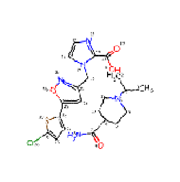 CC(C)N1CCC(C(N)=O)CC1.O=C(O)c1nccn1Cc1cc(-c2ccc(Cl)s2)on1